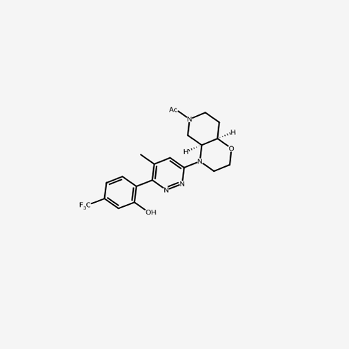 CC(=O)N1CC[C@H]2OCCN(c3cc(C)c(-c4ccc(C(F)(F)F)cc4O)nn3)[C@H]2C1